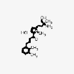 Cc1cccc(CCCC(=O)c2ccc(CC[C@@](C)(N)CO)n2C)c1C.Cl